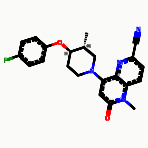 C[C@@H]1CN(c2cc(=O)n(C)c3ccc(C#N)nc23)CC[C@H]1Oc1ccc(F)cc1